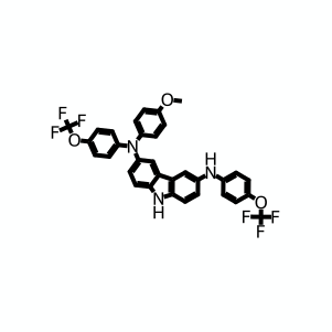 COc1ccc(N(c2ccc(OC(F)(F)F)cc2)c2ccc3[nH]c4ccc(Nc5ccc(OC(F)(F)F)cc5)cc4c3c2)cc1